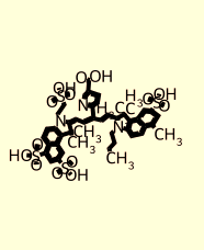 CCCC[N+]1=C(/C=C/C(=C/C=C2/N(CCS(=O)(=O)O)c3ccc4c(S(=O)(=O)O)cc(S(=O)(=O)O)cc4c3C2(C)C)c2ccc(C(=O)O)cn2)C(C)(C)c2c1ccc1c(C)cc(S(=O)(=O)O)cc21